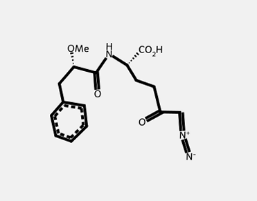 CO[C@@H](Cc1ccccc1)C(=O)N[C@@H](CCC(=O)C=[N+]=[N-])C(=O)O